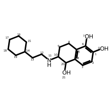 Oc1ccc2c(c1O)CCC(NCCC1CCCCC1)C2O